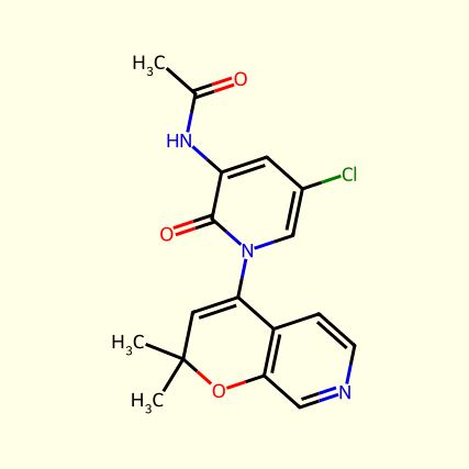 CC(=O)Nc1cc(Cl)cn(C2=CC(C)(C)Oc3cnccc32)c1=O